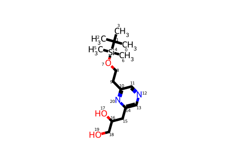 CC(C)(C)[Si](C)(C)OCCc1cncc(CC(O)CO)n1